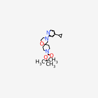 CC(C)(C)OC(=O)N1CCC2(CC1)CN(c1cc(C3CC3)ccn1)CCO2